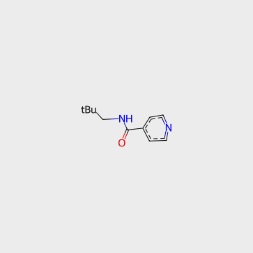 CC(C)(C)CNC(=O)c1ccncc1